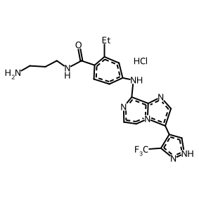 CCc1cc(Nc2nccn3c(-c4c[nH]nc4C(F)(F)F)cnc23)ccc1C(=O)NCCCN.Cl